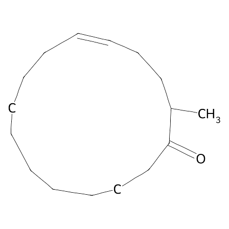 CC1CCC=CCCCCCCCCCC1=O